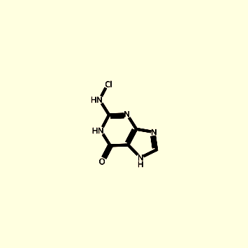 O=c1[nH]c(NCl)nc2nc[nH]c12